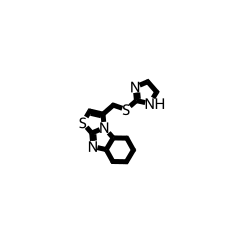 C1=C(CSC2=NCCN2)N2C(=NC3CCCCC32)S1